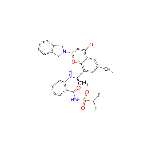 Cc1cc([C@@H](C)Nc2ccccc2C(=O)NS(=O)(=O)C(F)F)c2oc(N3Cc4ccccc4C3)cc(=O)c2c1